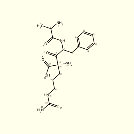 CC(N)C(=O)NC(Cc1ccccc1)C(=O)[C@@](N)(CCCNC(N)=O)C(=O)O